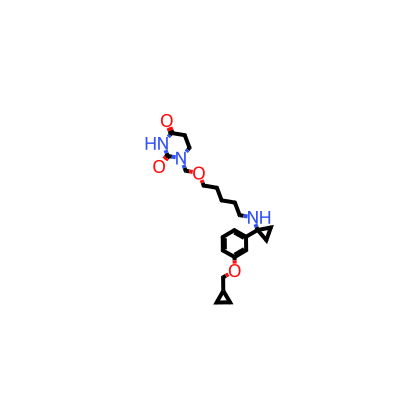 O=C1CCN(COCCCCCNC2(c3cccc(OCC4CC4)c3)CC2)C(=O)N1